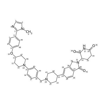 Cn1ccnc1-c1ccc(OC2CCN(c3ccc(CN4CCC(c5ccc6c(c5)CN(C5CCC(=O)NC5=O)C6=O)CC4)cc3)CC2)cc1